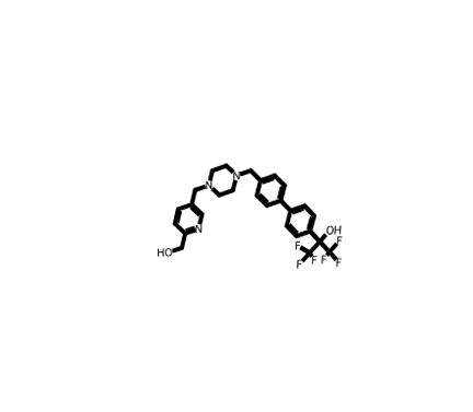 OCc1ccc(CN2CCN(Cc3ccc(-c4ccc(C(O)(C(F)(F)F)C(F)(F)F)cc4)cc3)CC2)cn1